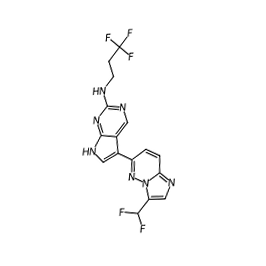 FC(F)c1cnc2ccc(-c3c[nH]c4nc(NCCC(F)(F)F)ncc34)nn12